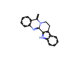 C=C1c2ccccc2N=C2c3[nH]c4ccccc4c3CCN12